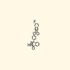 O=C(Oc1ccc(-c2n[nH]c(=O)c3ccccc23)cc1)n1cc2ccc(F)cc2c1